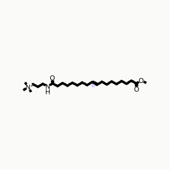 COC(=O)CCCCCCC/C=C/CCCCCCCC(=O)NCCC[N+](C)(C)C